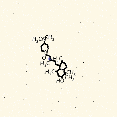 C=C1CCC2C(C(C)CC(O)C2(C)C)C1CC/C(C)=C/C(=O)N1CCC(N(C)C)CC1